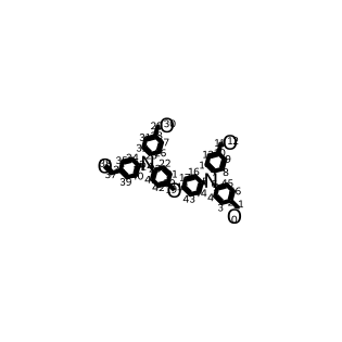 O=Cc1ccc(N(c2ccc(C=O)cc2)c2ccc(Oc3ccc(N(c4ccc(C=O)cc4)c4ccc(C=O)cc4)cc3)cc2)cc1